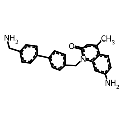 Cc1cc(=O)n(Cc2ccc(-c3ccc(CN)cc3)cc2)c2cc(N)ccc12